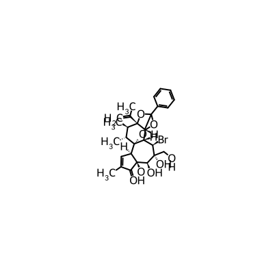 C=C(C)[C@@]12OC3(c4ccccc4)O[C@@H]1[C@@H]1[C@@H](Br)[C@@](O)(CO)[C@@H](O)[C@]4(O)C(=O)C(C)=C[C@H]4[C@@]1(O3)[C@H](C)[C@H]2C